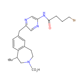 CC(C)(C)C1CN(C(=O)O)CCc2cc(Cc3cnc(NC(=O)CCCBr)cn3)ccc21